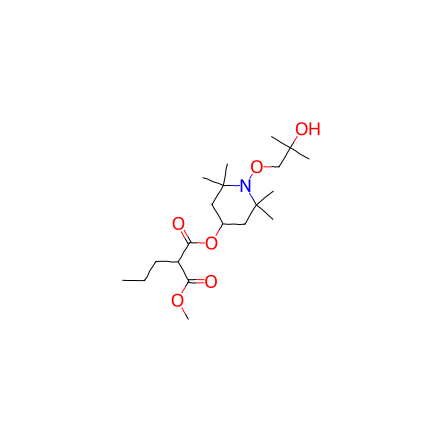 CCCC(C(=O)OC)C(=O)OC1CC(C)(C)N(OCC(C)(C)O)C(C)(C)C1